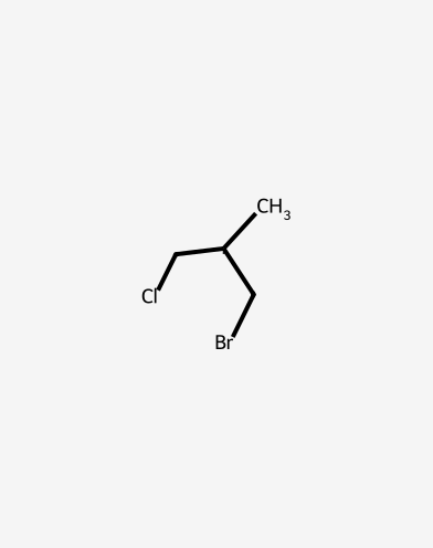 C[C](CCl)CBr